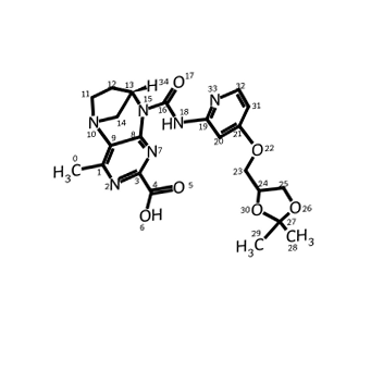 Cc1nc(C(=O)O)nc2c1N1CC[C@@H](C1)N2C(=O)Nc1cc(OCC2COC(C)(C)O2)ccn1